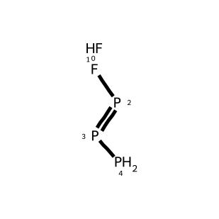 F.FP=PP